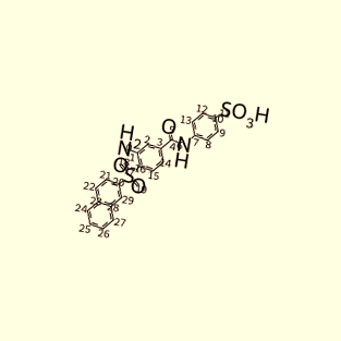 Nc1cc(C(=O)Nc2ccc(S(=O)(=O)O)cc2)ccc1S(=O)(=O)c1ccc2ccccc2c1